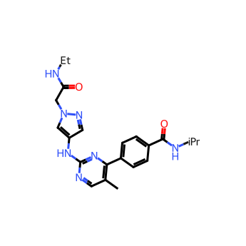 CCNC(=O)Cn1cc(Nc2ncc(C)c(-c3ccc(C(=O)NC(C)C)cc3)n2)cn1